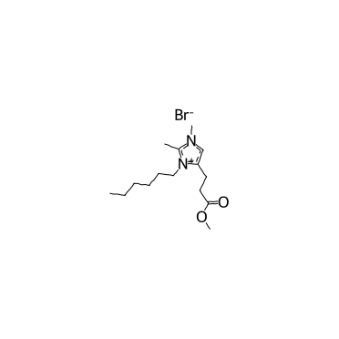 CCCCCC[n+]1c(CCC(=O)OC)cn(C)c1C.[Br-]